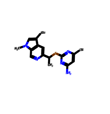 CC(Sc1nc(N)cc(C#N)n1)c1cc2c(C(C)(C)C)cn(C)c2cn1